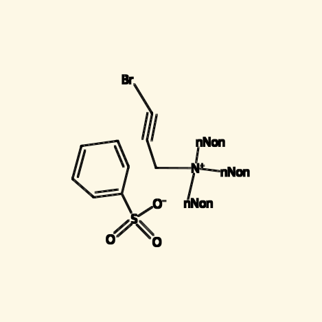 CCCCCCCCC[N+](CC#CBr)(CCCCCCCCC)CCCCCCCCC.O=S(=O)([O-])c1ccccc1